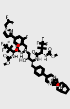 COC(=O)N[C@H](C(=O)N[C@@H](Cc1ccc(-c2cnc(N3CC4CCC(C3)N4C3COC3)nc2)cc1)[C@@H](O)CN(Cc1c(F)cc(-c2ccn(CC(F)F)n2)cc1F)NC(=O)[C@@H](NC(=O)OC)C(C)(C)C(F)(F)F)C(C)(C)C(F)(F)F